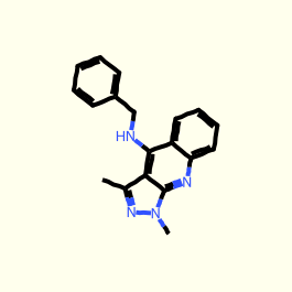 Cc1nn(C)c2nc3ccccc3c(NCc3ccccc3)c12